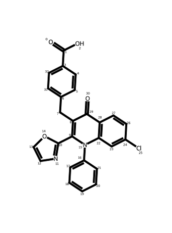 O=C(O)c1ccc(Cc2c(-c3ncco3)n(-c3ccccc3)c3cc(Cl)ccc3c2=O)cc1